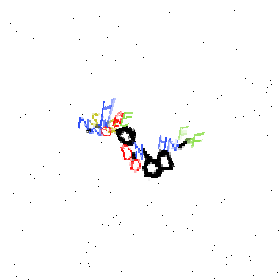 O=c1oc2cc(S(=O)(=O)Nc3ncns3)c(F)cc2n1Cc1cccc2c1CC(NCC(F)F)CC2